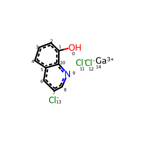 Oc1cccc2cccnc12.[Cl-].[Cl-].[Cl-].[Ga+3]